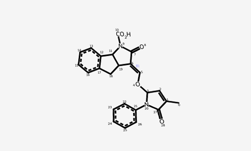 CC1=CC(O/C=C2/C(=O)N(C(=O)O)C3c4ccccc4CC23)N(c2ccccc2)C1=O